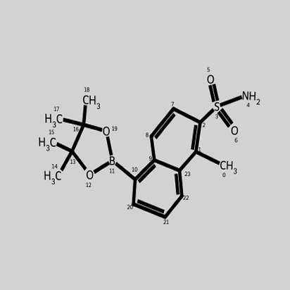 Cc1c(S(N)(=O)=O)ccc2c(B3OC(C)(C)C(C)(C)O3)cccc12